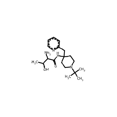 CC(O)C(N)C(=O)NC1(Cc2ccccn2)CCN(C(C)(C)C)CC1